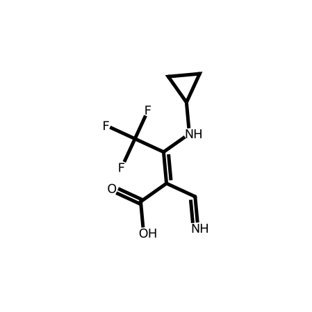 N=C/C(C(=O)O)=C(\NC1CC1)C(F)(F)F